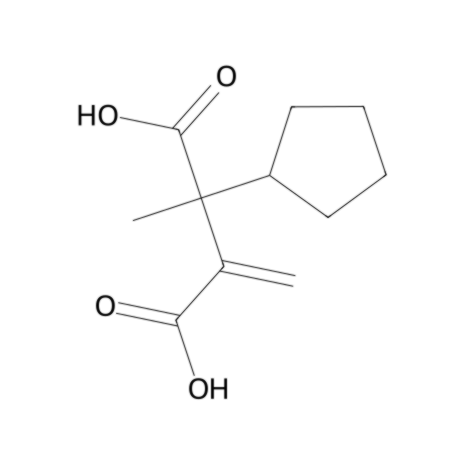 C=C(C(=O)O)C(C)(C(=O)O)C1CCCC1